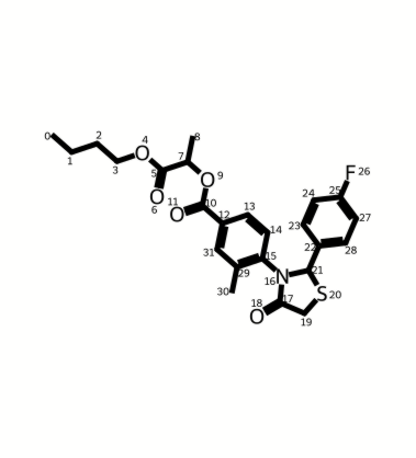 CCCCOC(=O)C(C)OC(=O)c1ccc(N2C(=O)CSC2c2ccc(F)cc2)c(C)c1